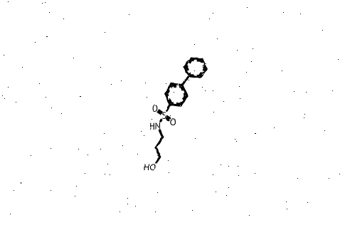 O=S(=O)(NCCCO)c1ccc(-c2ccccc2)cc1